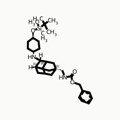 CC(C)(C)[Si](C)(C)O[C@H]1CC[C@H](N[C@@H]2C3CC4C[C@H]2C[C@](CNC(=O)OCc2ccccc2)(C4)C3)CC1